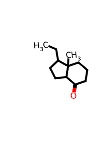 CCC1CCC2C(=O)CCCC12C